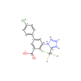 O=C(O)c1cc(-c2ccc(Cl)cc2)cc(-n2nnnc2C(F)(F)F)c1